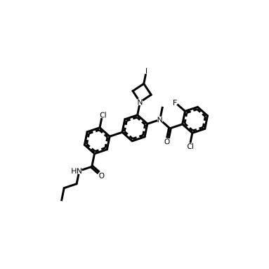 CCCNC(=O)c1ccc(Cl)c(-c2ccc(N(C)C(=O)c3c(F)cccc3Cl)c(N3CC(I)C3)c2)c1